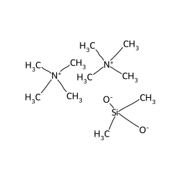 C[N+](C)(C)C.C[N+](C)(C)C.C[Si](C)([O-])[O-]